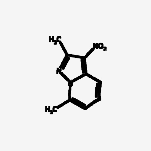 Cc1nn2c(C)cccc2c1[N+](=O)[O-]